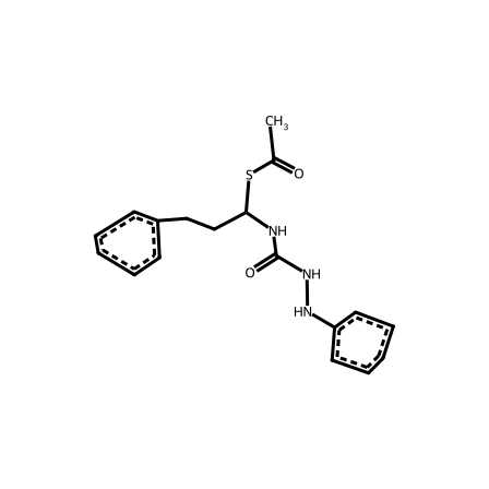 CC(=O)SC(CCc1ccccc1)NC(=O)NNc1ccccc1